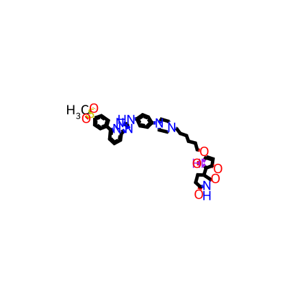 CS(=O)(=O)c1ccc(-c2cccc3nc(Nc4ccc(N5CCN(CCCCCCOC6=CC(=O)C(C7CCC(=O)NC7=O)[IH]6=O)CC5)cc4)nn23)cc1